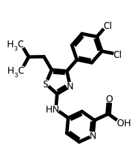 CC(C)Cc1sc(Nc2ccnc(C(=O)O)c2)nc1-c1ccc(Cl)c(Cl)c1